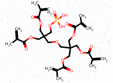 C=C(C)C(=O)OCC(COCC(COC(=O)C(=C)C)(COC(=O)C(=C)C)COP(=O)(O)O)(COC(=O)C(=C)C)COC(=O)C(=C)C